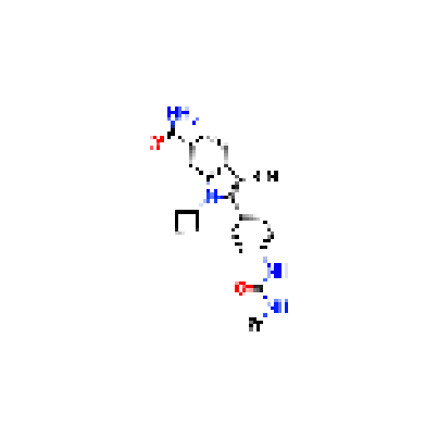 CC(C)NC(=O)Nc1ccc(-c2c(C#N)c3ccc(C(N)=O)cc3n2C2CCC2)cc1